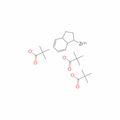 CC(C)(C)C(=O)[O-].CC(C)(C)C(=O)[O-].CC(C)(C)C(=O)[O-].[Zr+3][CH]1CCC2C=CC=CC12